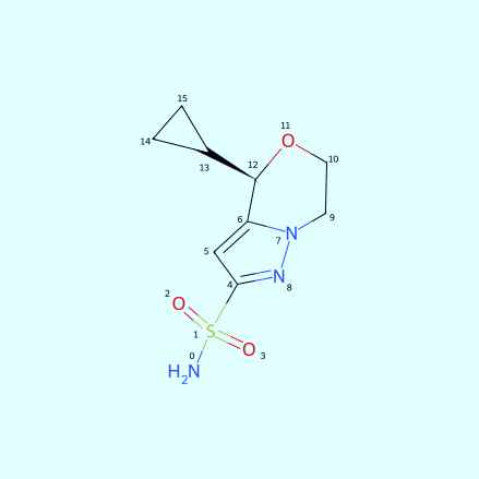 NS(=O)(=O)c1cc2n(n1)CCO[C@@H]2C1CC1